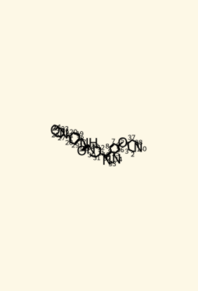 CN1CCC(Oc2ccc3c(C4CCN(C(=O)Nc5ccc(N6CCOCC6)cc5)CC4)ncnc3c2)CC1